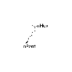 [CH2]CCCC/C=C/CCCCC(C)CCCCC[CH2]